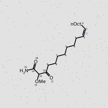 CCCCCCCC/C=C\CCCCCCCC(=O)C(OC)C(N)=O